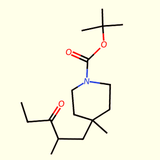 CCC(=O)C(C)CC1(C)CCN(C(=O)OC(C)(C)C)CC1